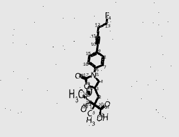 CC(CC1CN(c2ccc(C#CCCF)cc2)C(=O)O1)(C(=O)O)S(C)(=O)=O